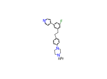 CCCN1CCN(c2ccc(CCc3cc(F)cc(-c4ccncc4)c3)cc2)CC1